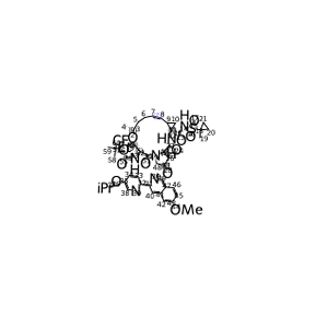 CC[C@@H]1O[C@H](C)CC/C=C\C2C[C@@]2(C(=O)NS(=O)(=O)C2(C)CC2)NC(=O)[C@@H]2C[C@@H](Oc3nc(-c4ccc(OC(C)C)cn4)cc4cc(OC)ccc34)CN2C(=O)[C@H]1NC(=O)OC(C)(C)C(F)(F)F